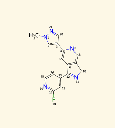 Cn1cc(-c2cc3c(cn2)CN=C3c2ccnc(F)c2)cn1